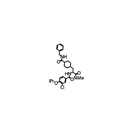 CNC(=O)C(CC1CCC(C(=O)NCc2ccccc2)CC1)NC(=O)c1ccc(OC(C)C)c(Cl)c1